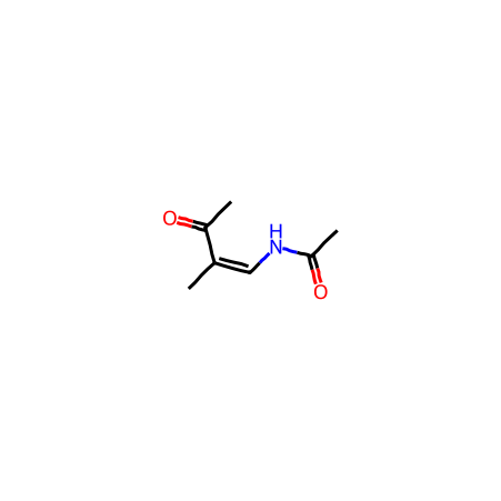 CC(=O)N/C=C(/C)C(C)=O